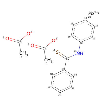 CC(=O)[O-].CC(=O)[O-].S=C(Nc1ccccc1)c1ccccc1.[Pb+2]